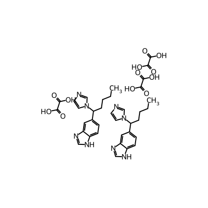 CCCCC(c1ccc2[nH]cnc2c1)n1ccnc1.CCCCC(c1ccc2[nH]cnc2c1)n1ccnc1.O=C(O)C(=O)O.O=C(O)C(=O)O.O=C(O)C(=O)O